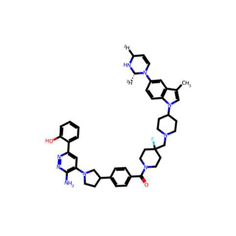 [2H]C1C=CN(c2ccc3c(c2)c(C)cn3C2CCN(CC3(F)CCN(C(=O)c4ccc(C5CCN(c6cc(-c7ccccc7O)nnc6N)C5)cc4)CC3)CC2)[C@H]([2H])N1